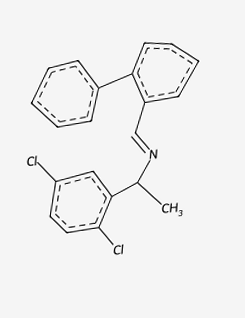 CC(N=Cc1ccccc1-c1ccccc1)c1cc(Cl)ccc1Cl